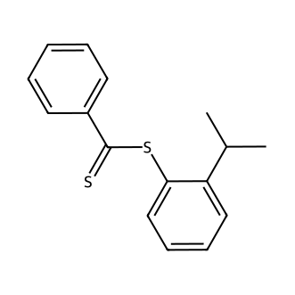 CC(C)c1ccccc1SC(=S)c1ccccc1